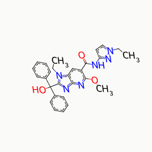 CCn1ccc(NC(=O)c2cc3c(nc2OC)nc(C(O)(c2ccccc2)c2ccccc2)n3CC)n1